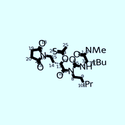 CNC(=O)[C@@H](NC(=O)N(CCC(C)C)C(=O)[C@H](CCN1C(=O)CCC1=O)OC(C)=S)C(C)(C)C